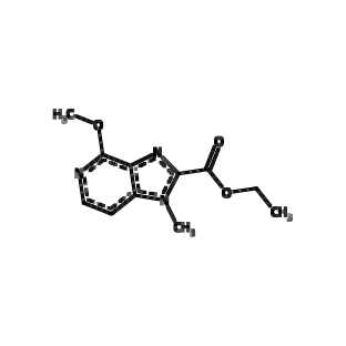 CCOC(=O)c1nc2c(OC)nccc2n1C